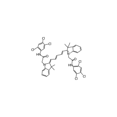 CC1(C)C(/C=C/C=C/C=C2/N(CC(=O)Nc3cc(Cl)c(Cl)cc3Cl)c3ccccc3C2(C)C)=[N+](CC(=O)Nc2cc(Cl)c(Cl)cc2Cl)c2ccccc21